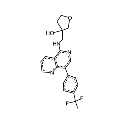 CC(F)(F)c1ccc(-c2cnc(NCC3(O)CCOC3)c3cccnc23)cc1